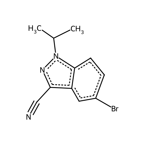 CC(C)n1nc(C#N)c2cc(Br)ccc21